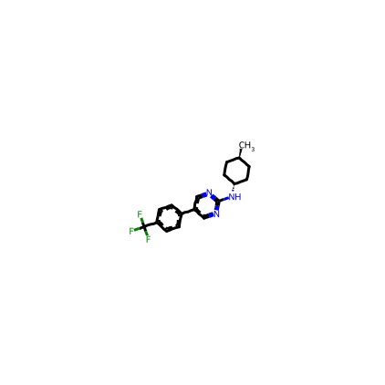 C[C@H]1CC[C@H](Nc2ncc(-c3ccc(C(F)(F)F)cc3)cn2)CC1